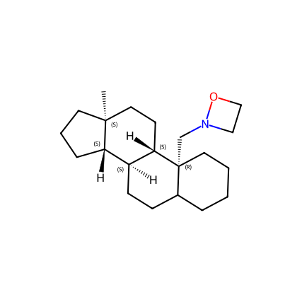 C[C@@]12CCC[C@H]1[C@@H]1CCC3CCCC[C@]3(CN3CCO3)[C@H]1CC2